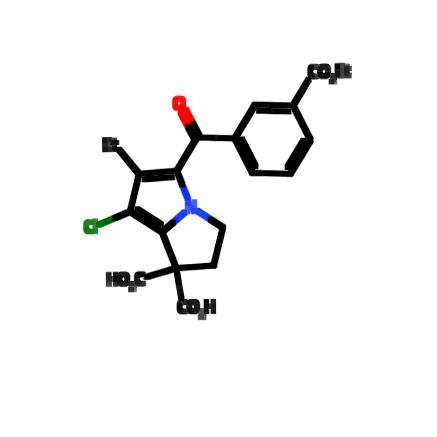 CCOC(=O)c1cccc(C(=O)c2c(CC)c(Cl)c3n2CCC3(C(=O)O)C(=O)O)c1